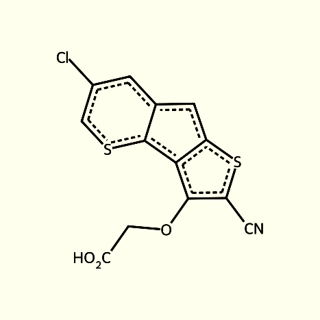 N#Cc1sc2cc3cc(Cl)csc-3c2c1OCC(=O)O